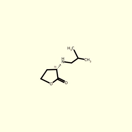 CC(C)CN[C@H]1CCOC1=O